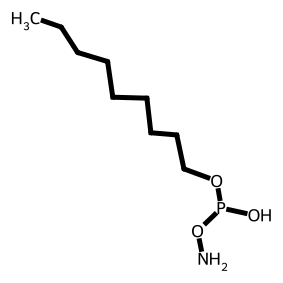 CCCCCCCCCOP(O)ON